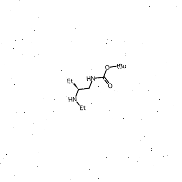 CCN[C@@H](CC)CNC(=O)OC(C)(C)C